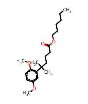 CCCCCCOC(=O)CCCC(C)(C)c1cc(OC)ccc1OC